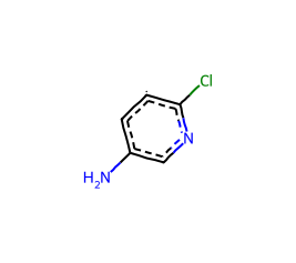 Nc1c[c]c(Cl)nc1